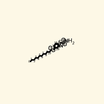 CCCCCCCCCCCC(=O)Oc1ccc2sc(S(N)(=O)=O)nc2c1